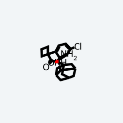 NC(=O)C12CC3CC(C1)C(NC(=O)C1(c4ccc(Cl)cc4)CCC1)C(C3)C2